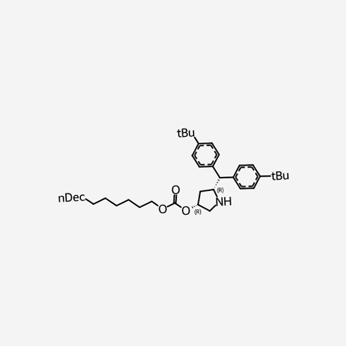 CCCCCCCCCCCCCCCCOC(=O)O[C@H]1CN[C@@H](C(c2ccc(C(C)(C)C)cc2)c2ccc(C(C)(C)C)cc2)C1